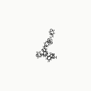 O=S(=O)(CCCN1CCOCC1)N1CCN(Cc2cc3nc(-c4cccc5[nH]ncc45)nc(N4CCOCC4)c3s2)CC1